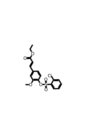 CCOC(=O)C=Cc1ccc(OS(=O)(=O)c2ccccc2Cl)c(OC)c1